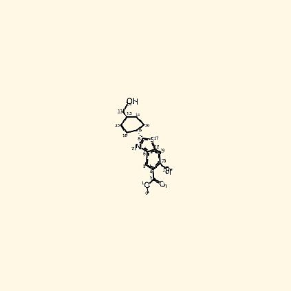 COC(=O)c1cc2nc([C@H]3CC[C@H](CO)CC3)sc2cc1Br